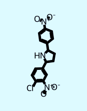 O=[N+]([O-])c1ccc(C2CCC(c3ccc(Cl)c([N+](=O)[O-])c3)N2)cc1